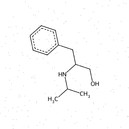 CC(C)NC(CO)Cc1ccccc1